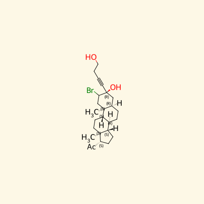 CC(=O)[C@H]1CC[C@H]2[C@@H]3CC[C@@H]4C[C@@](O)(C#CCCO)C(Br)C[C@]4(C)[C@H]3CC[C@]12C